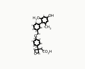 Cc1cc(O)cc(C)c1-c1cccc(COc2ccc(C3(CC(=O)O)COC3)cc2)c1